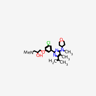 C=C(C)c1nc(-c2cc(Cl)cc(OCC(O)CNC)c2)nc(N(C)C2CCOCC2)c1C